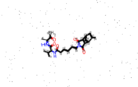 BC(=O)[C@H](C)NC(=O)C(NC(=O)CCCCCN1C(=O)C2C3C=C(C)C(C3)C2C1=O)C(C)C